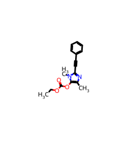 CCOC(=O)Oc1c(C)nc(C#Cc2ccccc2)n1C